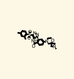 Cc1ccc(S(=O)(=O)c2nnn3c2[nH]c(=O)c2ccc(N4CCOC5(CN(C)C5)C4)cc23)c(C)c1